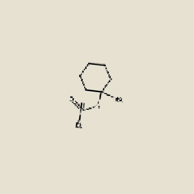 CCCCC1(O[PH](=O)CC)CCCCC1